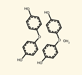 O.Oc1ccc(Oc2ccc(O)cc2)cc1.Oc1ccc(Oc2ccc(O)cc2)cc1